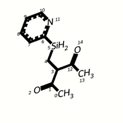 CC(=O)C(C[SiH2]c1ccccn1)C(C)=O